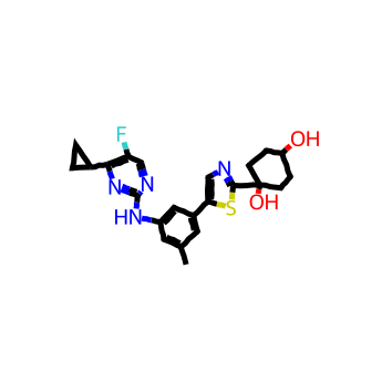 Cc1cc(Nc2ncc(F)c(C3CC3)n2)cc(-c2cnc(C3(O)CCC(O)CC3)s2)c1